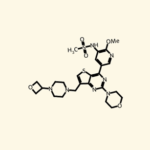 COc1ncc(-c2nc(N3CCOCC3)nc3c(CN4CCN(C5COC5)CC4)csc23)cc1NS(C)(=O)=O